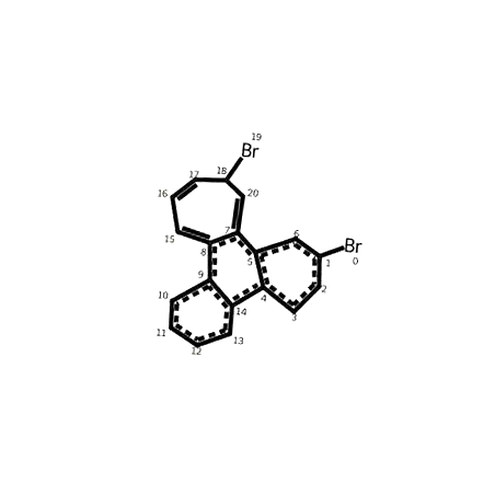 Brc1ccc2c(c1)c1c(c3ccccc32)=CC=CC(Br)C=1